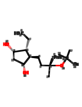 CCCCC[C@@](C)(CC[C@@H]1[C@@H](CC(=O)O)[C@@H](O)C[C@H]1O)O[Si](C)(C)C(C)(C)C